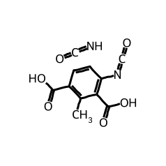 Cc1c(C(=O)O)ccc(N=C=O)c1C(=O)O.N=C=O